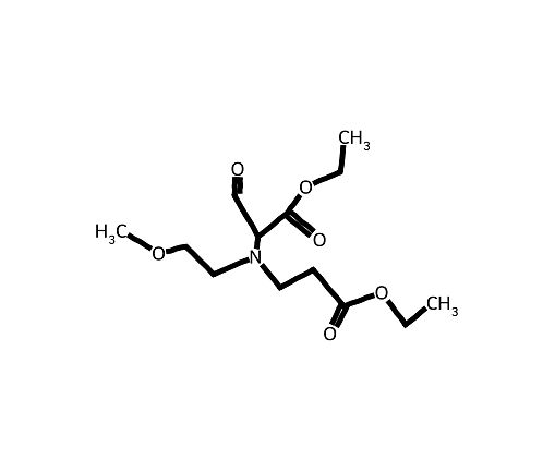 CCOC(=O)CCN(CCOC)C(C=O)C(=O)OCC